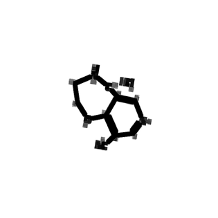 Cl.N#Cc1cncc2c1OCCNC2